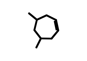 CC1CC=CCC(C)C1